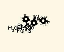 CC(F)(F)C(=O)N[C@H]1CS(=O)(=O)N(c2ccc3c(cnn3-c3ccc(F)cc3)c2)[C@@H]1c1ccccc1